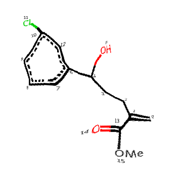 C=C(CCC(O)c1cccc(Cl)c1)C(=O)OC